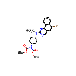 CC(C)(C)OC(=O)N(C(=O)OC(C)(C)C)[C@H]1CC[C@H](N(C(=O)O)c2ncc3cc(Br)c4ccccc4c3n2)CC1